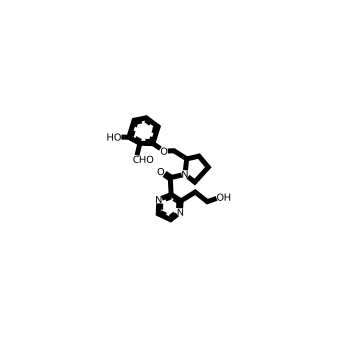 O=Cc1c(O)cccc1OCC1CCCN1C(=O)c1nccnc1CCO